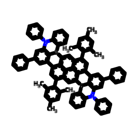 Cc1cc(C)c(-c2cc3c4c(cc5c(-c6c(C)cc(C)cc6C)cc6c7c(cc2c4c57)B2c4ccccc4N(c4ccccc4)c4cc(-c5ccccc5)cc-6c42)B2c4ccccc4N(c4ccccc4)c4cc(-c5ccccc5)cc-3c42)c(C)c1